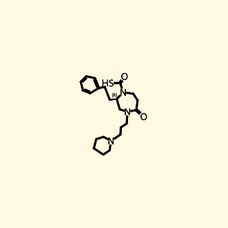 O=C1CCN(C(=O)S)[C@H](CCc2ccccc2)CN1CCCN1CCCCC1